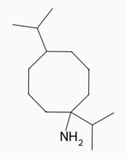 CC(C)C1CCCC(N)(C(C)C)CCC1